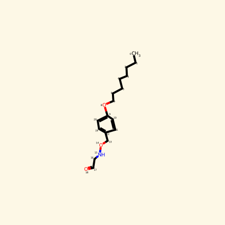 CCCCCCCCOc1ccc(CONC[C]=O)cc1